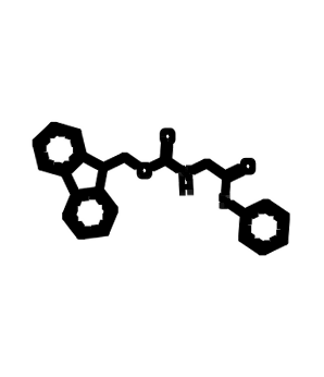 O=C(NCC(=O)Sc1ccccc1)OCC1c2ccccc2-c2ccccc21